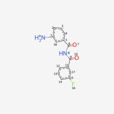 Nc1c[c]cc(C(=O)NC(=O)c2cccc(F)c2)c1